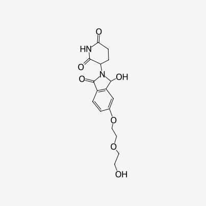 O=C1CCC(N2C(=O)c3ccc(OCCOCCO)cc3C2O)C(=O)N1